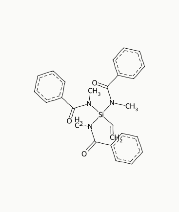 C=C[Si](N(C)C(=O)c1ccccc1)(N(C)C(=O)c1ccccc1)N(C)C(=O)c1ccccc1